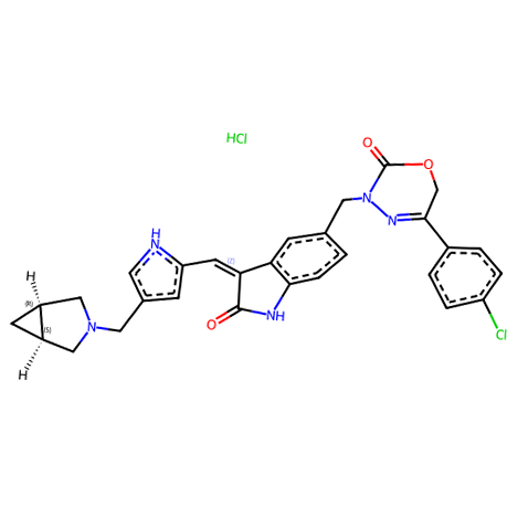 Cl.O=C1Nc2ccc(CN3N=C(c4ccc(Cl)cc4)COC3=O)cc2/C1=C/c1cc(CN2C[C@H]3C[C@H]3C2)c[nH]1